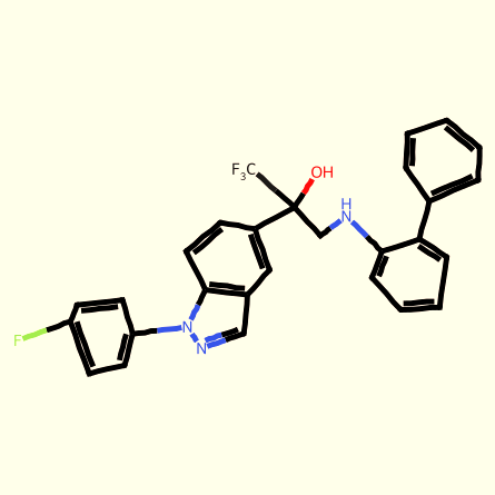 OC(CNc1ccccc1-c1ccccc1)(c1ccc2c(cnn2-c2ccc(F)cc2)c1)C(F)(F)F